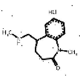 CNCC1CCC(=O)N(C)c2ccccc21.Cl